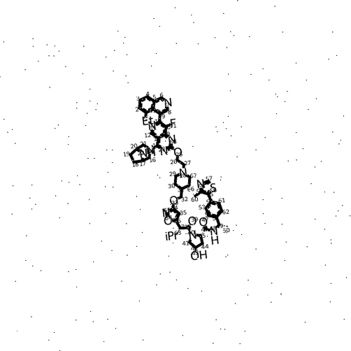 CCc1cccc2cncc(-c3ncc4c(N5CC6CCC(C5)N6)nc(OCCN5CCC(COc6cc([C@H](C(=O)N7C[C@H](O)C[C@H]7C(=O)N[C@@H](C)c7ccc(-c8scnc8C)cc7)C(C)C)on6)CC5)nc4c3F)c12